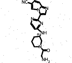 N#Cc1ccc2ncc(-c3nccc(N[C@@H]4CCCN(C(=O)CN)C4)n3)n2c1